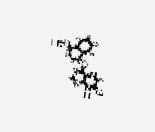 N=Pc1ccc(Oc2ncnc3[nH]c(=O)cnc23)c2ccccc12